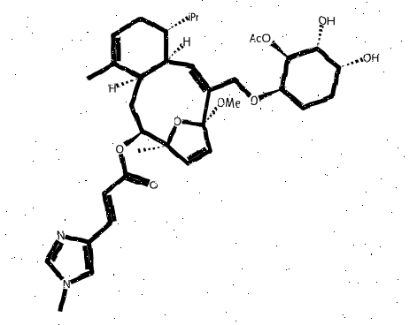 CO[C@]12C=C[C@](C)(O1)[C@@H](OC(=O)/C=C/c1cn(C)cn1)C[C@H]1C(C)=CC[C@H](C(C)C)[C@H]1/C=C\2CO[C@@H]1CC[C@@H](O)[C@@H](O)[C@@H]1OC(C)=O